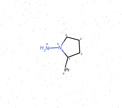 CC(C)C1CCCN1N